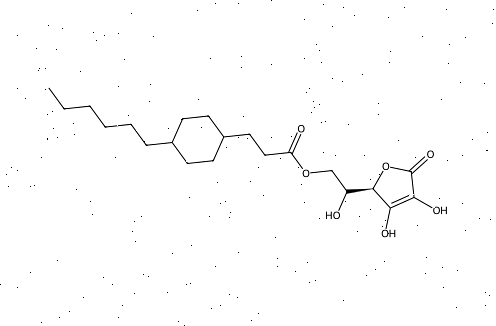 CCCCCCC1CCC(CCC(=O)OCC(O)[C@H]2OC(=O)C(O)=C2O)CC1